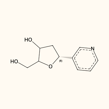 OCC1O[C@@H](c2cccnc2)CC1O